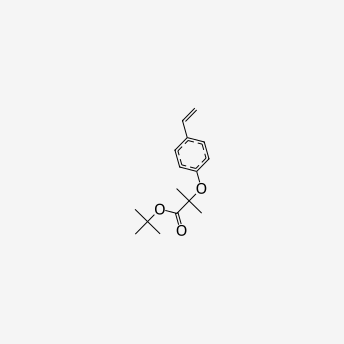 C=Cc1ccc(OC(C)(C)C(=O)OC(C)(C)C)cc1